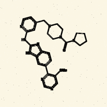 COc1cncnc1-c1ccc2nc(Nc3cc(CN4CCN(C(=O)N5CCCC5)CC4)ccn3)[nH]c2c1